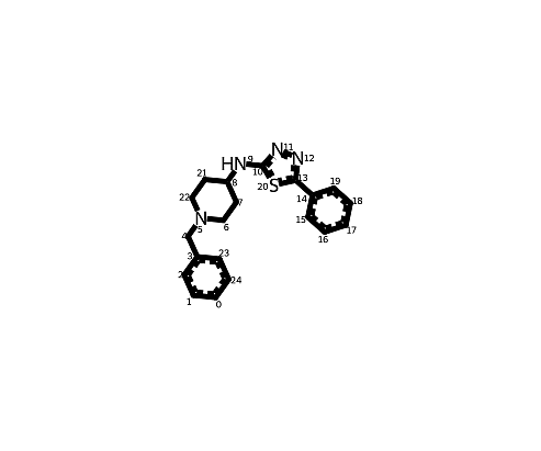 c1ccc(CN2CCC(Nc3nnc(-c4ccccc4)s3)CC2)cc1